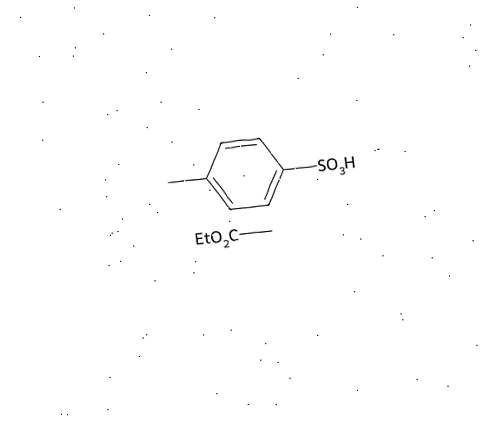 CCOC(C)=O.Cc1ccc(S(=O)(=O)O)cc1